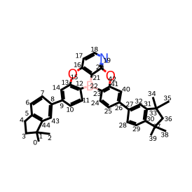 CC1(C)CCc2ccc(-c3ccc4c(c3)Oc3ccnc5c3B4c3ccc(-c4ccc6c(c4)C(C)(C)CC6(C)C)cc3O5)cc21